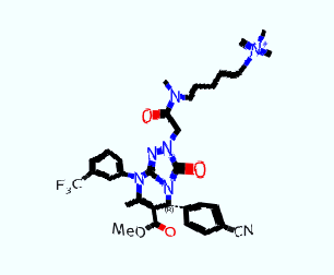 COC(=O)C1=C(C)N(c2cccc(C(F)(F)F)c2)c2nn(CC(=O)N(C)CCCCC[N+](C)(C)C)c(=O)n2[C@@H]1c1ccc(C#N)cc1